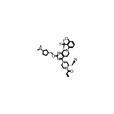 C=CC(=O)N1CCN(c2nc(OC[C@H]3CC[C@@H](N(C)C)C3)nc3c2CCN(c2cccc(Cl)c2C(F)(F)F)C3)C[C@@H]1CC#N